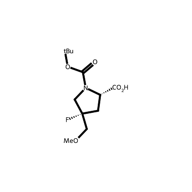 COC[C@]1(F)C[C@@H](C(=O)O)N(C(=O)OC(C)(C)C)C1